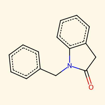 O=C1Cc2ccccc2N1Cc1ccccc1